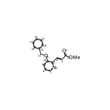 COC(=O)/C=C/c1ncccc1OCc1ccccc1